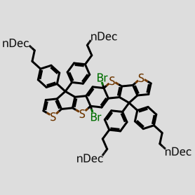 CCCCCCCCCCCCc1ccc(C2(c3ccc(CCCCCCCCCCCC)cc3)C3=C(SC4(Br)C=C5C6=C(SC5(Br)C=C34)c3sccc3C6(c3ccc(CCCCCCCCCCCC)cc3)c3ccc(CCCCCCCCCCCC)cc3)c3sccc32)cc1